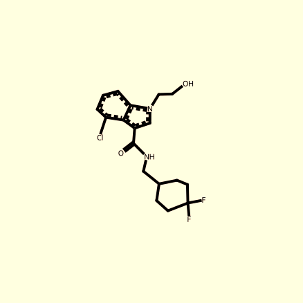 O=C(NCC1CCC(F)(F)CC1)c1cn(CCO)c2cccc(Cl)c12